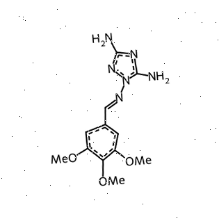 COc1cc(C=Nn2nc(N)nc2N)cc(OC)c1OC